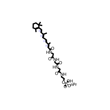 [CH2][CH]COP(=O)(O)OCCNC(=O)CNC(=O)CNC(=O)CNC(=O)/C=C(C)/C=C/C=C(C)/C=C/C1=C(C)CCCC1(C)C